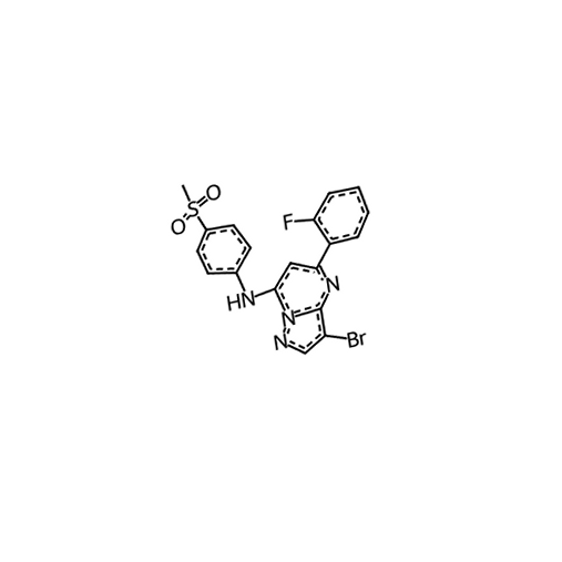 CS(=O)(=O)c1ccc(Nc2cc(-c3ccccc3F)nc3c(Br)cnn23)cc1